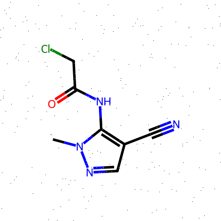 Cn1ncc(C#N)c1NC(=O)CCl